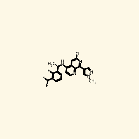 C[C@@H](Nc1ccnc2c(-c3cnn(C)c3)nc(Cl)cc12)c1cccc(C(F)F)c1F